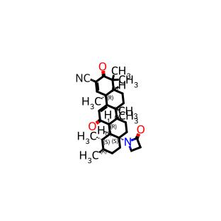 C[C@@H]1[C@H]2[C@H]3C(=O)C=C4[C@@]5(C)C=C(C#N)C(=O)C(C)(C)[C@@H]5CC[C@@]4(C)[C@]3(C)CC[C@@]2(N2CCC2=O)CC[C@H]1C